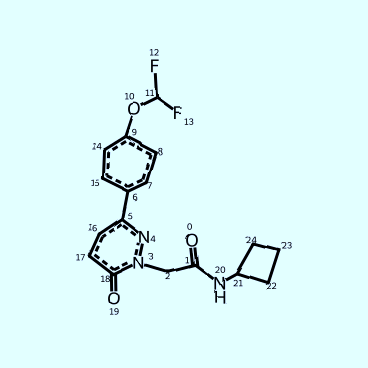 O=C(Cn1nc(-c2ccc(OC(F)F)cc2)ccc1=O)NC1CCC1